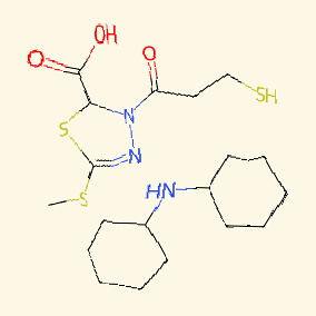 C1CCC(NC2CCCCC2)CC1.CSC1=NN(C(=O)CCS)C(C(=O)O)S1